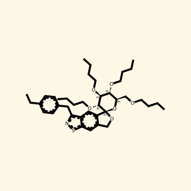 CCCCOC[C@H]1O[C@]2(OCc3cc4snc(Cc5ccc(CC)cc5)c4cc32)[C@H](OCCCC)[C@@H](OCCCC)[C@@H]1OCCCC